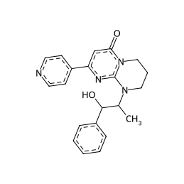 CC(C(O)c1ccccc1)N1CCCn2c1nc(-c1ccncc1)cc2=O